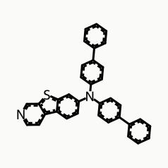 c1ccc(-c2ccc(N(c3ccc(-c4ccccc4)cc3)c3ccc4c(c3)sc3cnccc34)cc2)cc1